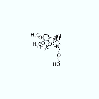 COc1ccc(CN2CCN(CCOCCO)CC2)c(OC)c1OC.Cl.Cl